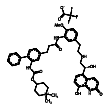 COc1ccc(CCNC[C@H](O)c2ccc(O)c3[nH]c(=O)ccc23)cc1NC(=O)CCc1ccc(-c2ccccc2)c(NC(=O)OC2CC[N+](C)(C)CC2)c1.O=C([O-])C(F)(F)F